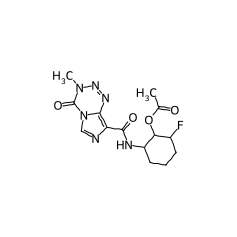 CC(=O)OC1C(F)CCCC1NC(=O)c1ncn2c(=O)n(C)nnc12